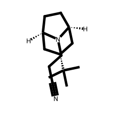 CC(C)(C)[C@@H]1C[C@H]2CC[C@@H](C1)N2CCC#N